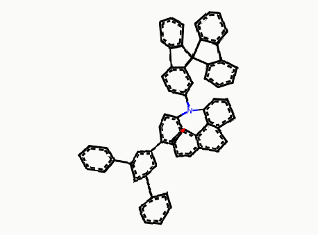 c1ccc(-c2cc(-c3ccccc3)cc(-c3ccc(N(c4ccc5c(c4)C4(c6ccccc6-c6ccccc64)c4ccccc4-5)c4cccc5ccc6ccccc6c45)cc3)c2)cc1